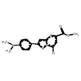 COC(=O)c1cc(Cl)n2nc(-c3ccc(N(C)C)cc3)cc2n1